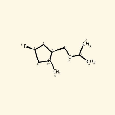 CC(C)OC[C@@H]1C[C@H](F)CN1C